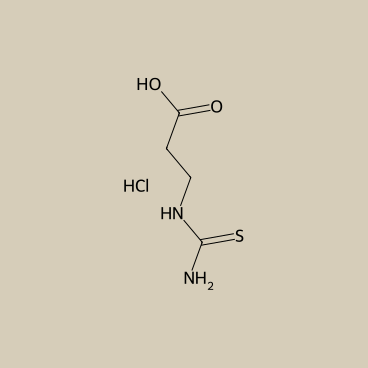 Cl.NC(=S)NCCC(=O)O